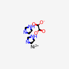 O=C([O-])C(=O)[O-].[Ni+2].c1c[nH]cn1.c1c[nH]cn1